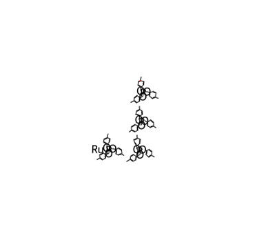 Cc1ccc(OP(Oc2ccc(C)cc2)Oc2ccc(C)cc2)cc1.Cc1ccc(OP(Oc2ccc(C)cc2)Oc2ccc(C)cc2)cc1.Cc1ccc(OP(Oc2ccc(C)cc2)Oc2ccc(C)cc2)cc1.Cc1ccc(OP(Oc2ccc(C)cc2)Oc2ccc(C)cc2)cc1.[Ru]